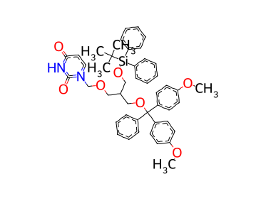 COc1ccc(C(OCC(COCn2ccc(=O)[nH]c2=O)CO[Si](c2ccccc2)(c2ccccc2)C(C)(C)C)(c2ccccc2)c2ccc(OC)cc2)cc1